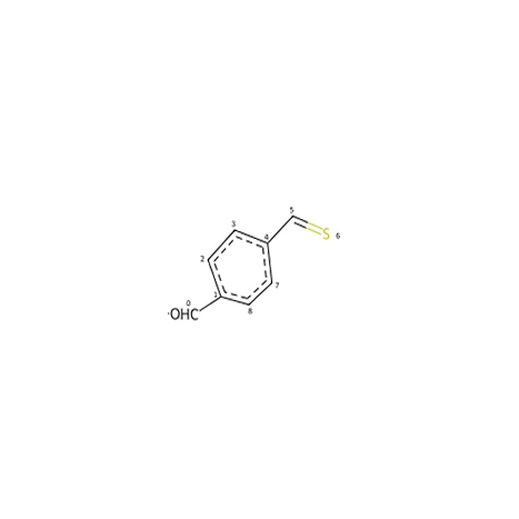 O=[C]c1ccc(C=S)cc1